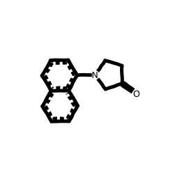 O=C1CCN(c2cccc3ccccc23)C1